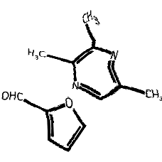 Cc1cnc(C)c(C)n1.O=Cc1ccco1